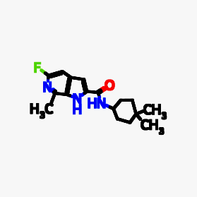 Cc1nc(F)cc2cc(C(=O)NC3CCC(C)(C)CC3)[nH]c12